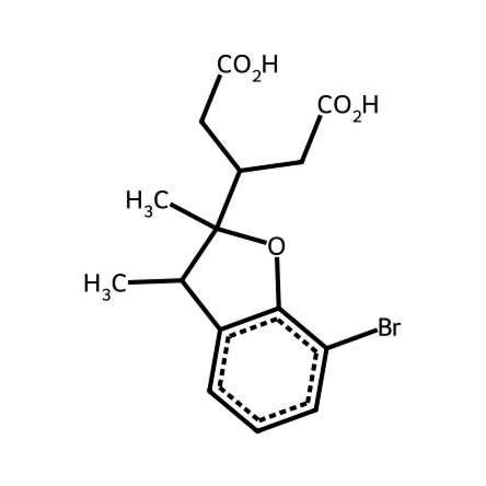 CC1c2cccc(Br)c2OC1(C)C(CC(=O)O)CC(=O)O